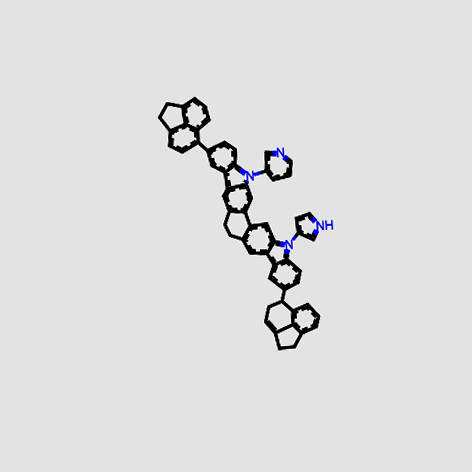 C1=C2CCc3cccc(c32)C(c2ccc3c(c2)c2cc4c(cc2n3-c2cc[nH]c2)-c2cc3c(cc2CC4)c2cc(-c4ccc5c6c(cccc46)CC5)ccc2n3-c2cccnc2)C1